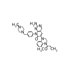 C=CC(=O)N1CCN(c2cc3cnc(N)nc3n(-c3ccc(CN4CCN(C)CC4)cc3)c2=O)c2cccc(C)c21